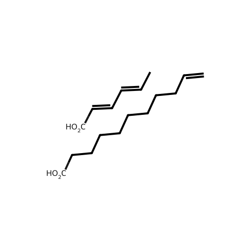 C/C=C/C=C/C(=O)O.C=CCCCCCCCCC(=O)O